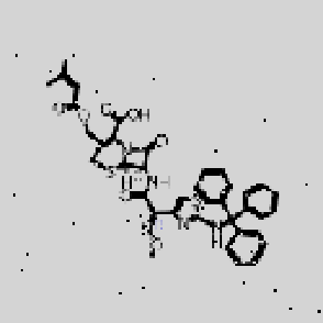 CO/N=C(/C(=O)N[C@@H]1C(=O)N2C(C(=O)O)=C(COC(=O)C=C(C)C)CS[C@H]12)c1csc(NC(c2ccccc2)(c2ccccc2)c2ccccc2)n1